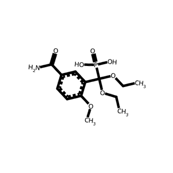 CCOC(OCC)(c1cc(C(N)=O)ccc1OC)P(=O)(O)O